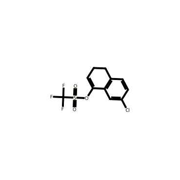 O=S(=O)(OC1=CCCc2ccc(Cl)cc21)C(F)(F)F